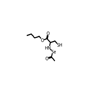 CCCCOC(=O)C(CS)N[Se]C(C)=O